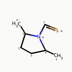 CC1CCC(C)N1C=S